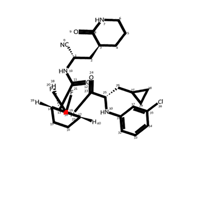 N#C[C@H](C[C@@H]1CCCNC1=O)NC(=O)[C@@H]1[C@H]2CC[C@H](CC2(F)F)N1C(=O)[C@H](CC1CC1)Nc1cccc(Cl)c1